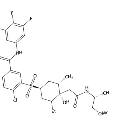 CCC1C[C@@H](S(=O)(=O)c2cc(C(=O)Nc3cc(F)c(F)c(F)c3)ccc2Cl)C[C@H](C)[C@@]1(O)CC(=O)N[C@H](C)COC